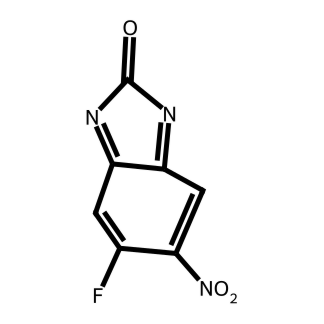 O=C1N=c2cc(F)c([N+](=O)[O-])cc2=N1